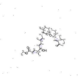 C=C(C)/C=C/[C@@H]1O[C@]2(CC[C@@H]1CCCC)CC[C@H](C)[C@@H](C/C=C(C)/C=C/[C@H](O)[C@@H](C)/C=C/C(=O)OCC)O2